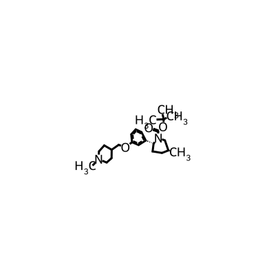 C[C@H]1CC[C@H](c2cccc(OCC3CCN(C)CC3)c2)N(C(=O)OC(C)(C)C)C1